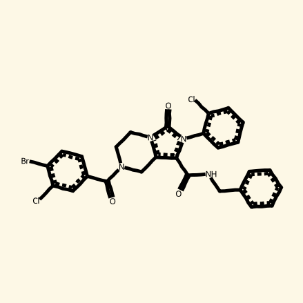 O=C(NCc1ccccc1)c1c2n(c(=O)n1-c1ccccc1Cl)CCN(C(=O)c1ccc(Br)c(Cl)c1)C2